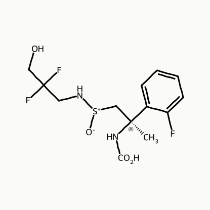 C[C@@](C[S+]([O-])NCC(F)(F)CO)(NC(=O)O)c1ccccc1F